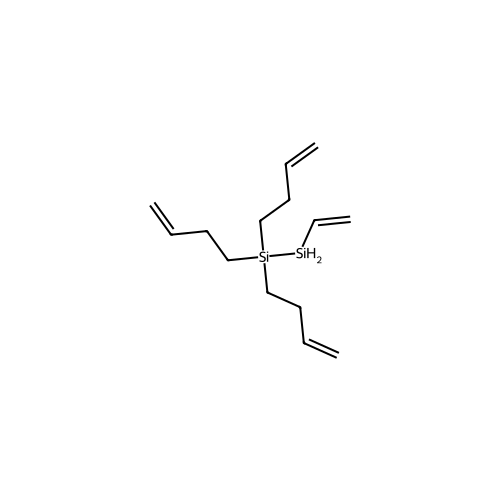 C=CCC[Si](CCC=C)(CCC=C)[SiH2]C=C